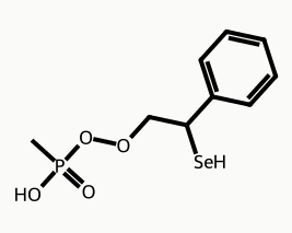 CP(=O)(O)OOCC([SeH])c1ccccc1